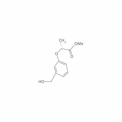 COC(=O)[C@@H](C)Oc1cccc(CO)c1